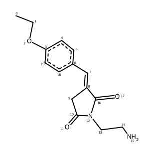 CCOc1ccc(/C=C2\CC(=O)N(CCN)C2=O)cc1